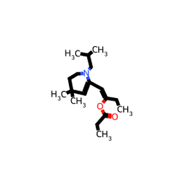 CCC(=O)OC(=CC1=CC(C)(C)CCN1CC(C)C)CC